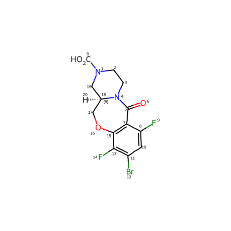 O=C(O)N1CCN2C(=O)c3c(F)cc(Br)c(F)c3OC[C@H]2C1